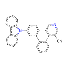 N#Cc1cnccc1-c1ccccc1-c1cccc(-n2c3ccccc3c3ccccc32)c1